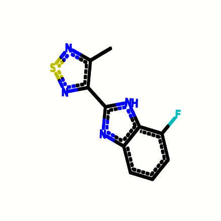 Cc1nsnc1-c1nc2cccc(F)c2[nH]1